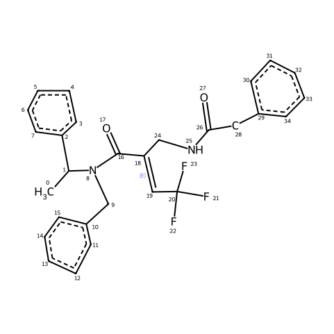 CC(c1ccccc1)N(Cc1ccccc1)C(=O)/C(=C/C(F)(F)F)CNC(=O)Cc1ccccc1